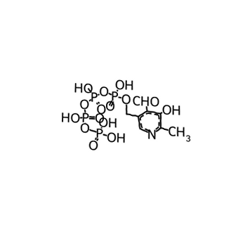 Cc1ncc(COP(=O)(O)OP(=O)(O)OP(=O)(O)OP(=O)(O)O)c(C=O)c1O